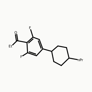 CCCC1CCC(c2cc(F)c(C(=O)CC)c(F)c2)CC1